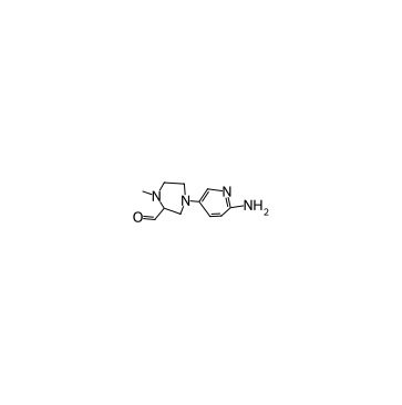 CN1CCN(c2ccc(N)nc2)CC1C=O